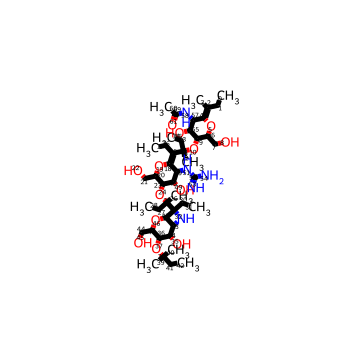 CC/C(C)=C1\OC(CO)C(OC(C)(CC)/C(CC)=C2/OC(CO)C(OC(C)(CC)C3(CC)NC4C(O)C(OC(C)(C)CC)C(CO)OC43)C(O)C2NC(=N)N)C(O)C1NC(C)=O